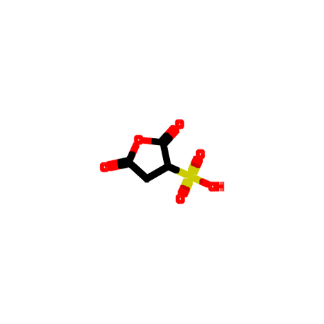 O=C1[CH]C(S(=O)(=O)O)C(=O)O1